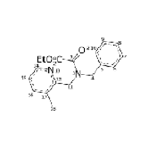 CCOC(=O)C(=O)N(Cc1ccccc1)Cc1ncccc1C